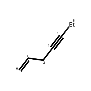 [CH]=CCC#CCC